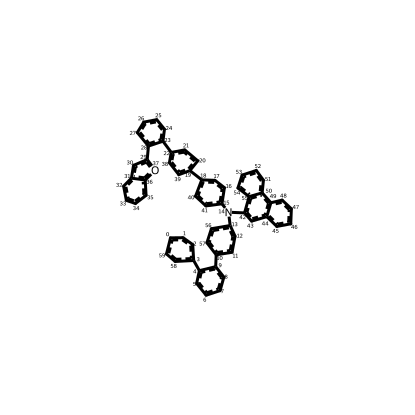 c1ccc(-c2ccccc2-c2ccc(N(c3ccc(-c4ccc(-c5ccccc5-c5cc6ccccc6o5)cc4)cc3)c3cc4ccccc4c4ccccc34)cc2)cc1